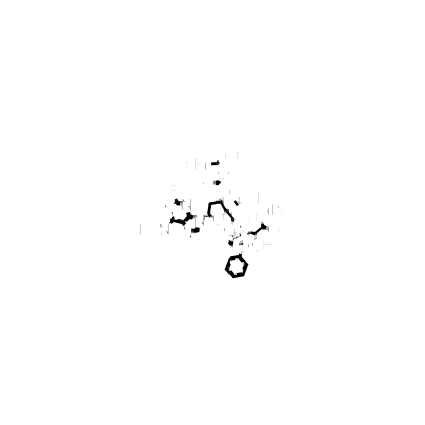 C#C[C@]1(CO[P@@](=O)(N[C@@H](C)C(=O)OC(C)C)Oc2ccccc2)O[C@@H](n2cnc3c(N)nc(F)nc32)C[C@@H]1OC(=O)OC(CCC)CCC